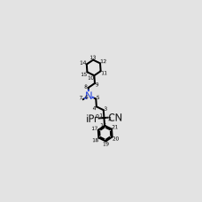 CC(C)C(C#N)(CCCN(C)CCC1CCCCC1)c1ccccc1